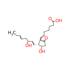 CCC=CC[C@H](O)C=C[C@@H]1c2cc(CCCCC(=O)O)oc2C[C@H]1O